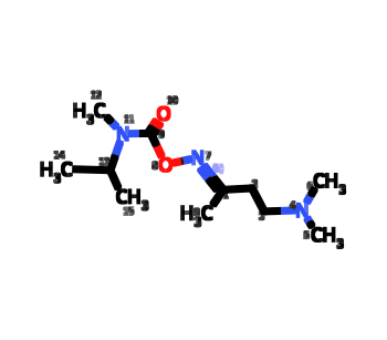 C/C(CCN(C)C)=N\OC(=O)N(C)C(C)C